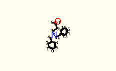 c1ccc(CN(CCC2CO2)Cc2ccccc2)cc1